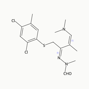 CC(=C/N(C)C)/C(CSc1cc(C)c(Cl)cc1Cl)=N\N(C)C=O